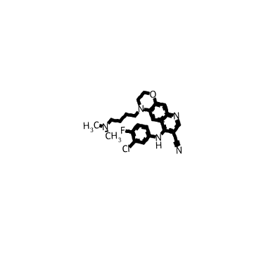 CN(C)CCCCN1CCOc2cc3ncc(C#N)c(Nc4ccc(F)c(Cl)c4)c3cc21